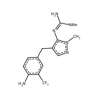 CN/C(N)=N\c1c(Cc2ccc(N)c(C(F)(F)F)c2)cnn1C